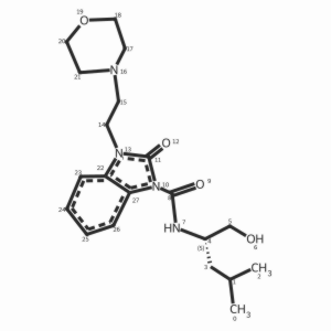 CC(C)C[C@@H](CO)NC(=O)n1c(=O)n(CCN2CCOCC2)c2ccccc21